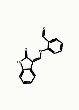 O=Cc1ccccc1N/C=C1\C(=O)Nc2ccccc21